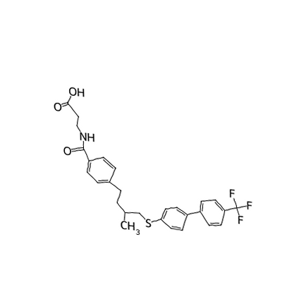 CC(CCc1ccc(C(=O)NCCC(=O)O)cc1)CSc1ccc(-c2ccc(C(F)(F)F)cc2)cc1